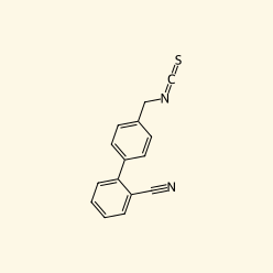 N#Cc1ccccc1-c1ccc(CN=C=S)cc1